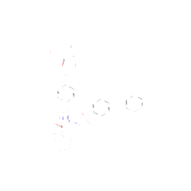 NC1CC2CCC(C1)N2C(=O)[C@H](NS(=O)(=O)c1ccc(Oc2ccc(F)cc2)cc1)C(F)(F)c1ccc(Br)cc1.O=C(O)C(F)(F)F